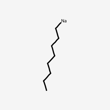 CCCCCCC[CH2][Na]